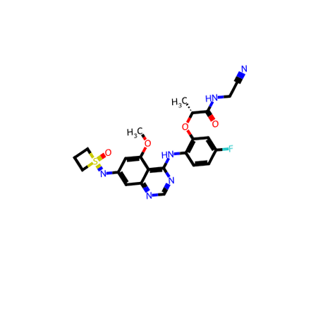 COc1cc(N=S2(=O)CCC2)cc2ncnc(Nc3ccc(F)cc3O[C@H](C)C(=O)NCC#N)c12